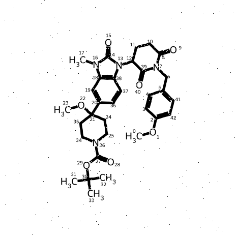 COc1ccc(CN2C(=O)CCC(n3c(=O)n(C)c4cc(C5(OC)CCN(C(=O)OC(C)(C)C)CC5)ccc43)C2=O)cc1